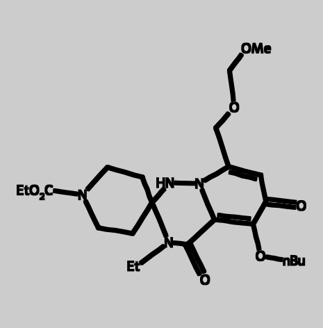 CCCCOc1c2n(c(COCOC)cc1=O)NC1(CCN(C(=O)OCC)CC1)N(CC)C2=O